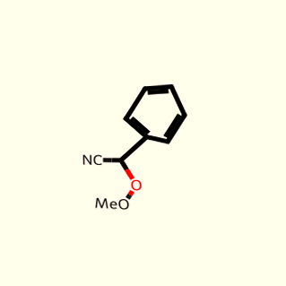 COOC(C#N)c1ccccc1